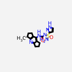 C[C@@H]1CCc2c1nc1c(c2NC(=O)N=S(N)(=O)c2cc[nH]n2)CCC1